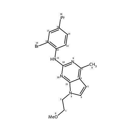 COCCn1ccc2c(C)nc(Nc3ccc(C(C)C)cc3Br)nc21